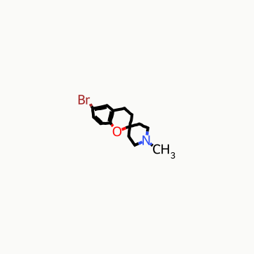 CN1CCC2(CCc3cc(Br)ccc3O2)CC1